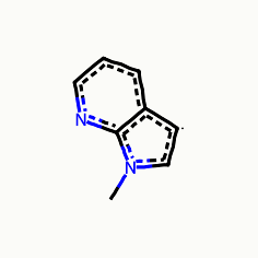 Cn1c[c]c2cccnc21